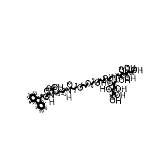 O=C(CCOCCOCCOCCOCCN(C[C@H](O)[C@@H](O)[C@H](O)[C@H](O)CO)C[C@H](O)[C@@H](O)[C@H](O)[C@H](O)CO)NCCCC[C@H](NC(=O)OCC1c2ccccc2-c2ccccc21)C(=O)O